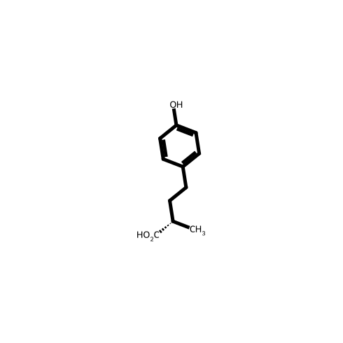 C[C@@H](CCc1ccc(O)cc1)C(=O)O